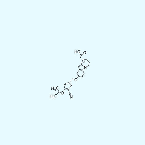 CC(C)Oc1ccc(COc2ccc3c(c2)cc2n3CCC[C@H]2CC(=O)O)cc1C#N